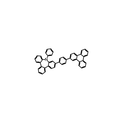 c1ccc(N2c3ccccc3-c3ccccc3-c3ccc(-c4ccc(-c5ccc6c7ccccc7c7ccccc7c6c5)cc4)cc32)cc1